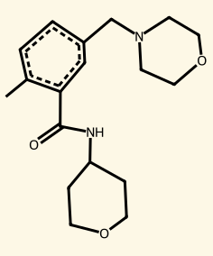 Cc1ccc(CN2CCOCC2)cc1C(=O)NC1CCOCC1